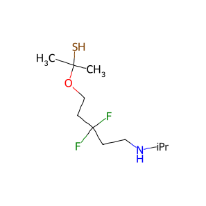 CC(C)NCCC(F)(F)CCOC(C)(C)S